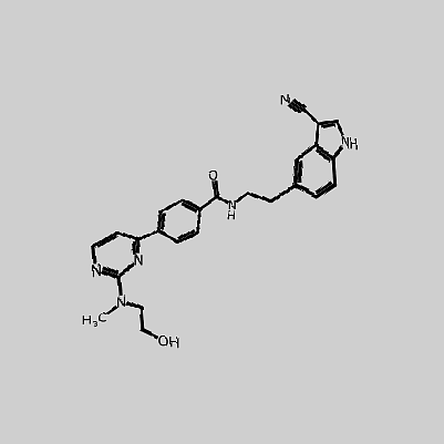 CN(CCO)c1nccc(-c2ccc(C(=O)NCCc3ccc4[nH]cc(C#N)c4c3)cc2)n1